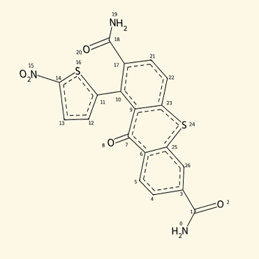 NC(=O)c1ccc2c(=O)c3c(-c4ccc([N+](=O)[O-])s4)c(C(N)=O)ccc3sc2c1